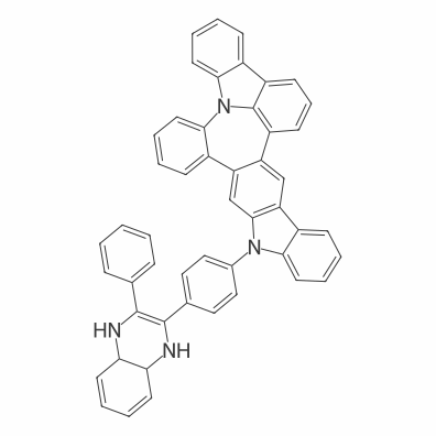 C1=CC2NC(c3ccccc3)=C(c3ccc(-n4c5ccccc5c5cc6c(cc54)-c4ccccc4-n4c5ccccc5c5cccc-6c54)cc3)NC2C=C1